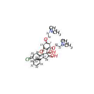 CN(C)CCOc1cc(OCCN(C)C)c2c(c1)O[C@@]1(c3ccc(Cl)cc3)[C@H](c3ccccc3)C[C@H](O)[C@@]21O